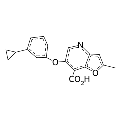 Cc1cc2ncc(Oc3cccc(C4CC4)c3)c(C(=O)O)c2o1